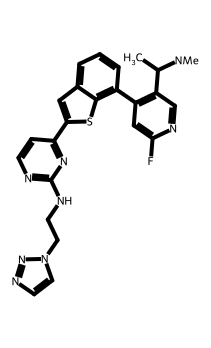 CNC(C)c1cnc(F)cc1-c1cccc2cc(-c3ccnc(NCCn4ccnn4)n3)sc12